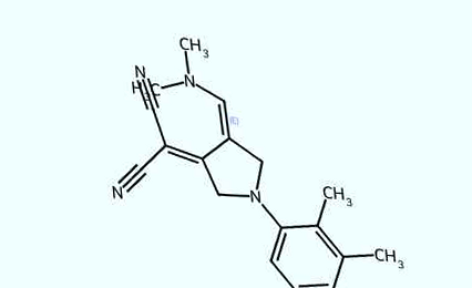 Cc1cccc(N2CC(=C(C#N)C#N)/C(=C\N(C)C)C2)c1C